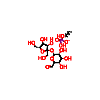 O=P([O-])(O)O.[K+].[K+].[O-]C[C@H]1O[C@H](O[C@]2(CO)O[C@H](CO)[C@@H](O)[C@@H]2O)[C@H](O)[C@@H](O)[C@@H]1O